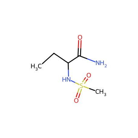 CCC(NS(C)(=O)=O)C(N)=O